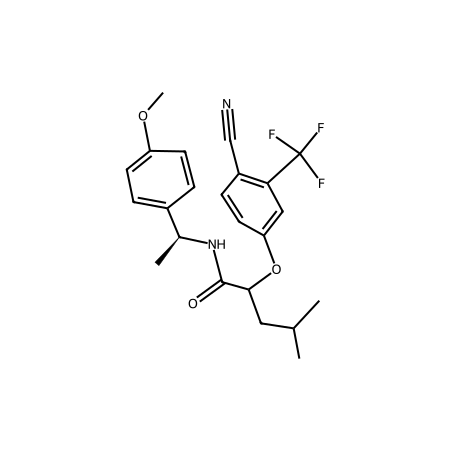 COc1ccc([C@H](C)NC(=O)C(CC(C)C)Oc2ccc(C#N)c(C(F)(F)F)c2)cc1